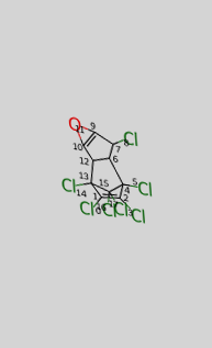 ClC1=C(Cl)C2(Cl)C3C(Cl)C4=C(O4)C3C1(Cl)C2(Cl)Cl